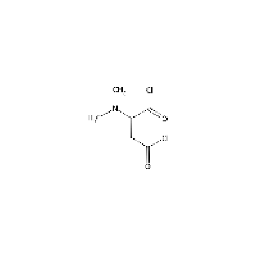 CN(C)C(CC(=O)Cl)C(=O)Cl